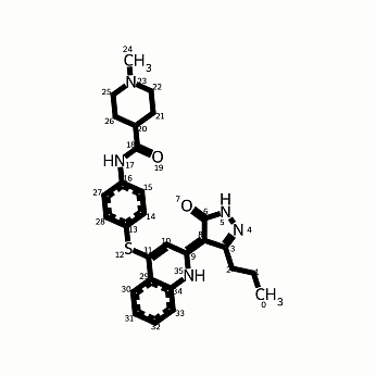 CCCC1=NNC(=O)C1=C1C=C(Sc2ccc(NC(=O)C3CCN(C)CC3)cc2)c2ccccc2N1